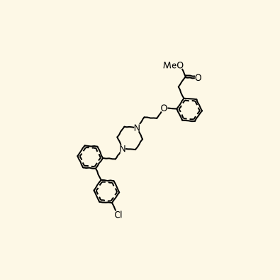 COC(=O)Cc1ccccc1OCCN1CCN(Cc2ccccc2-c2ccc(Cl)cc2)CC1